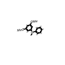 COc1cc(OC)cc(N(C)c2ccccc2)c1